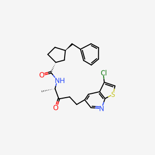 C[C@H](NC(=O)[C@@H]1CC[C@@H](Cc2ccccc2)C1)C(=O)CCc1cnc2scc(Cl)c2c1